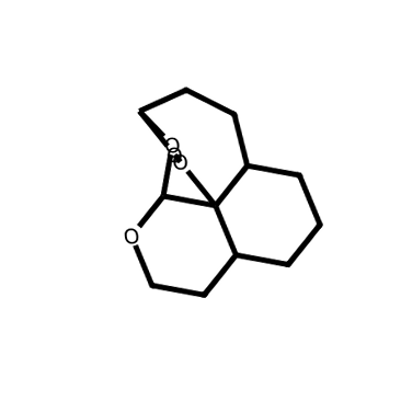 C1CC2CCOC3OC4CCC(C1)C23OO4